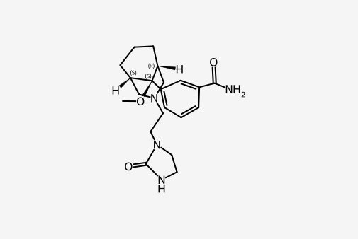 CO[C@]1(c2cccc(C(N)=O)c2)[C@@H]2CCC[C@H]1CN(CCN1CCNC1=O)C2